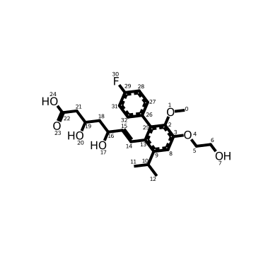 COc1c(OCCO)cc(C(C)C)c(C=CC(O)CC(O)CC(=O)O)c1-c1ccc(F)cc1